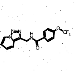 O=C(NCc1nnn2ccccc12)c1ccc(OC(F)(F)F)cc1